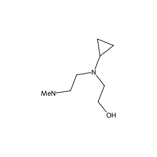 CNCCN(CCO)C1CC1